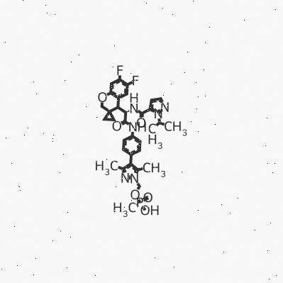 Cc1nn(COP(C)(=O)O)c(C)c1-c1ccc(NC(=O)[C@@H](NC(=O)c2ccnn2C(C)C)C2c3cc(F)c(F)cc3OCC23CC3)cc1